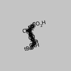 CC(C)(C)OC(=O)NC1CC(=O)N(c2ccc(S(=O)(=O)N3CCN(c4cc(C(F)(F)[C@H]5CC[C@H](C(=O)O)CC5)cc(Cl)n4)CC3)cc2)C1